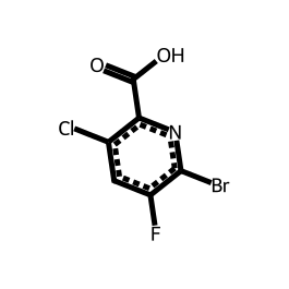 O=C(O)c1nc(Br)c(F)cc1Cl